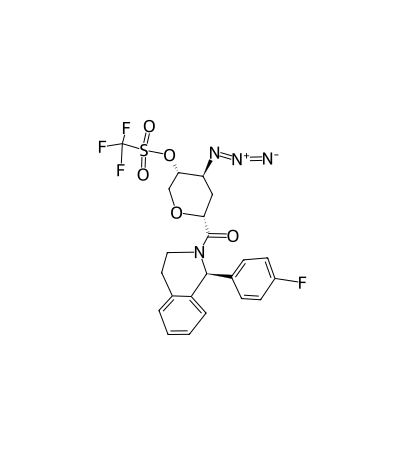 [N-]=[N+]=N[C@H]1C[C@H](C(=O)N2CCc3ccccc3[C@@H]2c2ccc(F)cc2)OC[C@@H]1OS(=O)(=O)C(F)(F)F